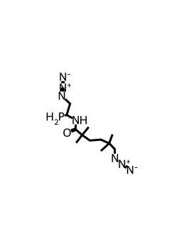 CC(C)(CCC(C)(C)C(=O)NC(P)CN=[N+]=[N-])CN=[N+]=[N-]